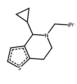 C[C](C)CN1CCc2sccc2C1C1CC1